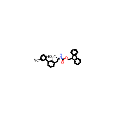 N#Cc1cccc(-c2cccc(C[C@H](NC(=O)OCC3c4ccccc4-c4ccccc43)C(=O)O)c2)c1